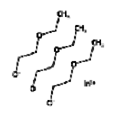 CCOCC[O-].CCOCC[O-].CCOCC[O-].[In+3]